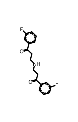 O=C(CCNCCC(=O)c1cccc(F)c1)c1cccc(F)c1